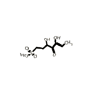 CC=C(O)C(=O)C(O)CCS(=O)(=O)O